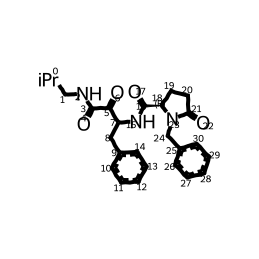 CC(C)CNC(=O)C(=O)C(Cc1ccccc1)NC(=O)[C@H]1CCC(=O)N1Cc1ccccc1